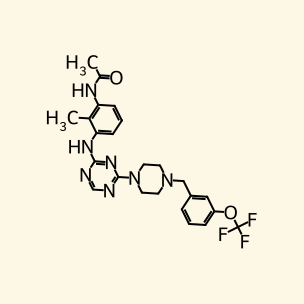 CC(=O)Nc1cccc(Nc2ncnc(N3CCN(Cc4cccc(OC(F)(F)F)c4)CC3)n2)c1C